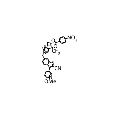 CCC(OC(=O)c1ccc([N+](=O)[O-])cc1)(c1cn(Cc2ccc3c(-c4ccc(OC)nc4)c(C#N)sc3c2)nn1)C(F)(F)F